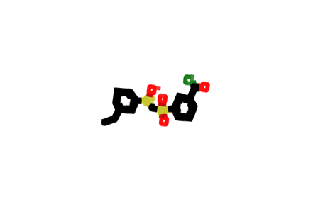 CCc1cccc([S+]([O-])CS(=O)(=O)c2cccc(C(=O)Cl)c2)c1